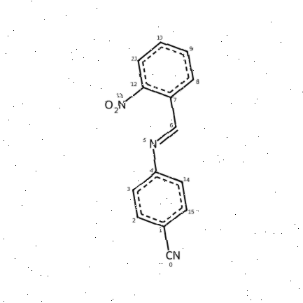 N#Cc1ccc(N=Cc2ccccc2[N+](=O)[O-])cc1